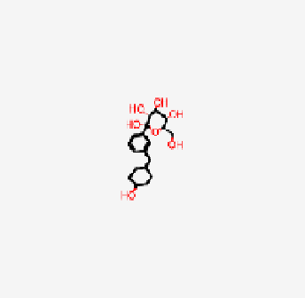 OC[C@H]1O[C@@](O)(c2cccc(CC3CCC(O)CC3)c2)[C@H](O)[C@@H](O)[C@@H]1O